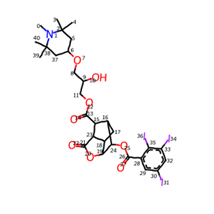 CN1C(C)(C)CC(OCC(O)COC(=O)C2C3CC4C(OC(=O)C42)C3OC(=O)c2cc(I)cc(I)c2I)CC1(C)C